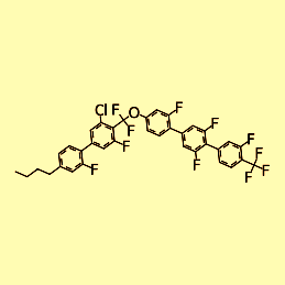 CCCCc1ccc(-c2cc(F)c(C(F)(F)Oc3ccc(-c4cc(F)c(-c5ccc(C(F)(F)F)c(F)c5)c(F)c4)c(F)c3)c(Cl)c2)c(F)c1